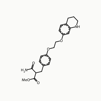 COC(=O)C(Cc1ccc(OCCOc2ccc3c(c2)NCCC3)cc1)C(N)=O